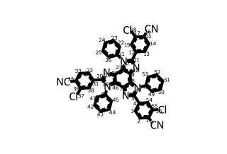 N#Cc1ccc(-c2nc3c(c4nc(-c5ccc(C#N)c(Cl)c5)n(-c5ccccc5)c4c4nc(-c5ccc(C#N)c(Cl)c5)n(-c5ccccc5)c34)n2-c2ccccc2)cc1Cl